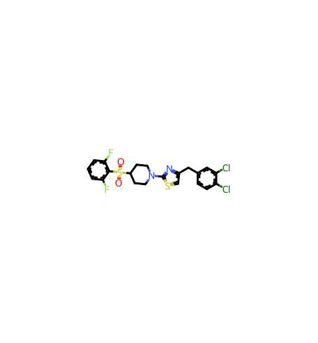 O=S(=O)(c1c(F)cccc1F)C1CCN(c2nc(Cc3ccc(Cl)c(Cl)c3)cs2)CC1